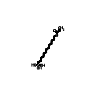 C=CC(=O)OCCCCCCCCCCCCC[Si](O)(O)O